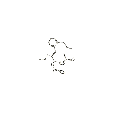 CCC/C(=C\c1ccccc1CCC)C(OC(C)=O)OC(C)=O